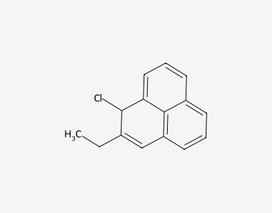 CCC1=Cc2cccc3cccc(c23)C1Cl